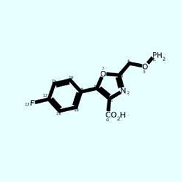 O=C(O)c1nc(COP)oc1-c1ccc(F)cc1